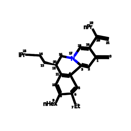 C=C1C=C2c3cc(CC)c(CCCCCC)cc3[C@@H](CCC(C)C)CN2C=C1C(=C)CCC